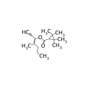 C#CC(OC(=O)C1C(C)(C)C1(C)C)=C(C)CCC